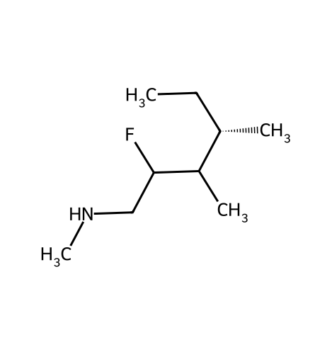 CC[C@H](C)C(C)C(F)CNC